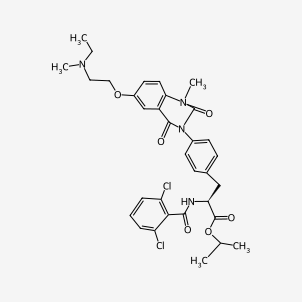 CCN(C)CCOc1ccc2c(c1)c(=O)n(-c1ccc(C[C@H](NC(=O)c3c(Cl)cccc3Cl)C(=O)OC(C)C)cc1)c(=O)n2C